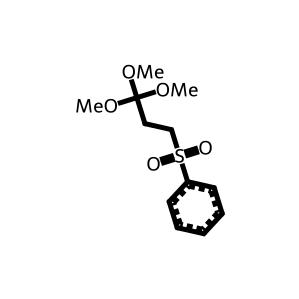 COC(CCS(=O)(=O)c1ccccc1)(OC)OC